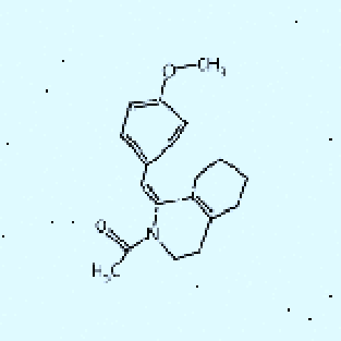 COc1ccc(/C=C2\C3=C(CCCC3)CCN2C(C)=O)cc1